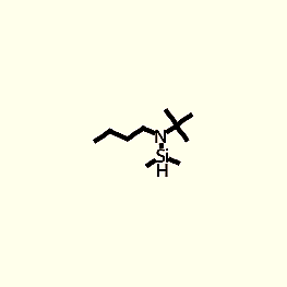 CCCCN([SiH](C)C)C(C)(C)C